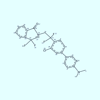 CN(C)c1ccc(-c2ccc(C(F)(F)CNC(=O)c3ccccc3C(F)(F)F)c(Cl)c2)cn1